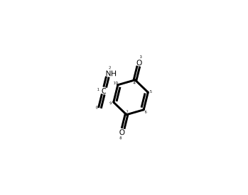 C=C=N.O=C1C=CC(=O)C=C1